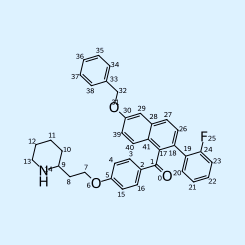 O=C(c1ccc(OCCC2CCCCN2)cc1)c1c(-c2ccccc2F)ccc2cc(OCc3ccccc3)ccc12